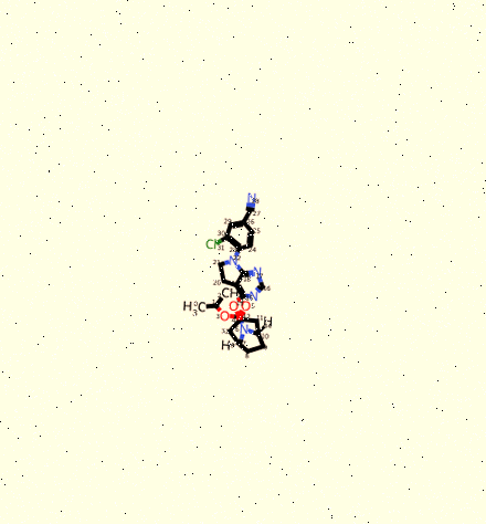 CC(C)OC(=O)N1[C@H]2CC[C@H]1CC(Oc1ncnc3c1CCN3c1ccc(C#N)cc1Cl)C2